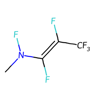 CN(F)/C(F)=C(\F)C(F)(F)F